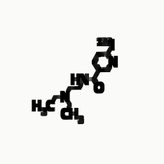 CCN(CC)CCNC(=O)c1ccc([123I])nc1